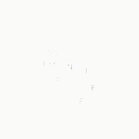 O=S(=O)(O)c1ccccc1/C=N/c1c(F)c(F)c(F)c(F)c1F